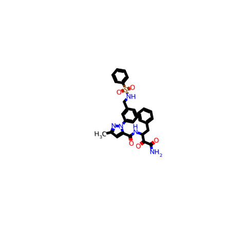 Cc1cc(C(=O)NC(Cc2ccccc2)C(=O)C(N)=O)n(-c2cccc(CNS(=O)(=O)c3ccccc3)c2)n1